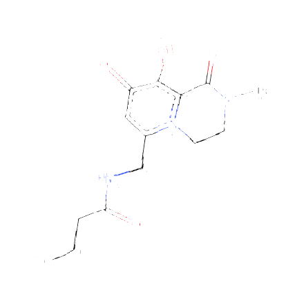 CC(C)N1CCn2c(CNC(=O)CCC(F)(F)F)cc(=O)c(O)c2C1=O